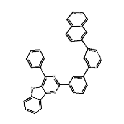 c1ccc(-c2nc(-c3cccc(-c4cccc(-c5ccc6ccccc6c5)c4)c3)nc3c2oc2ccccc23)cc1